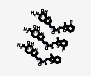 Cc1c(CN(C)C(=O)/C=C/c2cnc3c(c2)CC[C@H](N)C(=O)N3)oc2cccc(F)c12.Cc1c(CN(C)C(=O)/C=C/c2cnc3c(c2)CC[C@H](N)C(=O)N3)sc2c(F)cccc12.Cc1c(CN(C)C(=O)/C=C/c2cnc3c(c2)CC[C@H](N)C(=O)N3)sc2ccccc12